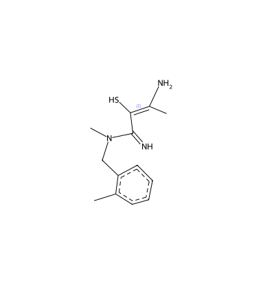 C/C(N)=C(/S)C(=N)N(C)Cc1ccccc1C